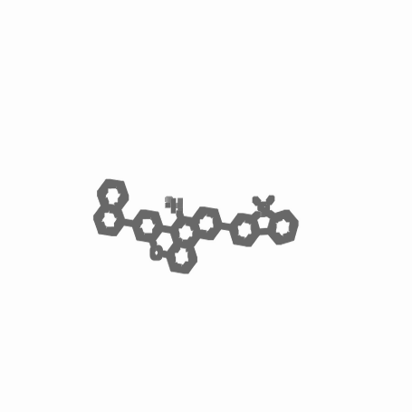 [2H]c1c2c3c(cccc3c3cc(-c4ccc5c(c4)[Si](C)(C)c4ccccc4-5)ccc13)Oc1cc(-c3cccc4ccccc34)ccc1-2